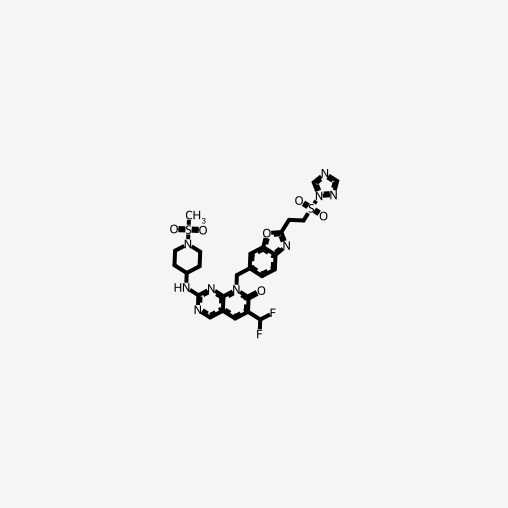 CS(=O)(=O)N1CCC(Nc2ncc3cc(C(F)F)c(=O)n(Cc4ccc5nc(CCS(=O)(=O)n6cncn6)oc5c4)c3n2)CC1